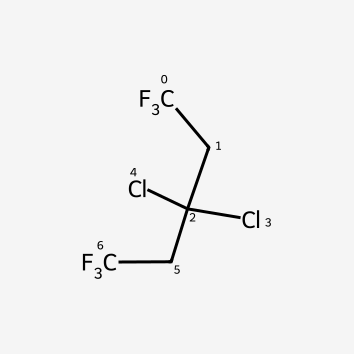 FC(F)(F)CC(Cl)(Cl)CC(F)(F)F